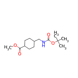 COC(=O)C1CCC(CNC(=O)OC(C)(C)C)CC1